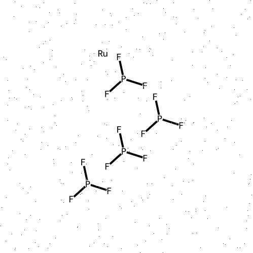 FP(F)F.FP(F)F.FP(F)F.FP(F)F.[Ru]